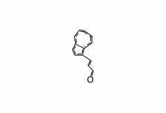 O=C/C=C/c1ccc2cccccc1-2